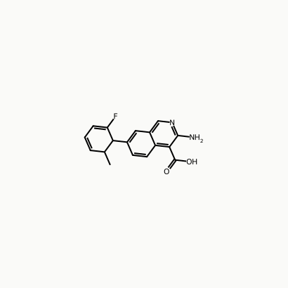 CC1C=CC=C(F)C1c1ccc2c(C(=O)O)c(N)ncc2c1